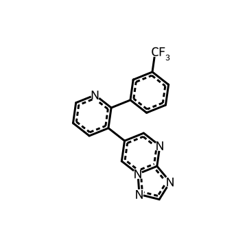 FC(F)(F)c1cccc(-c2ncccc2-c2cnc3ncnn3c2)c1